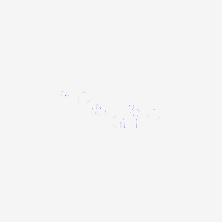 N#Cc1ccc(Cn2cc(-c3ccnc(-c4ncc(-c5ccccc5)[nH]4)c3)cn2)cc1